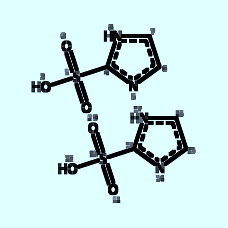 O=S(=O)(O)c1ncc[nH]1.O=S(=O)(O)c1ncc[nH]1